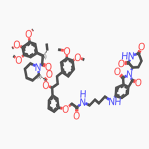 CC[C@H](C(=O)N1CCCC[C@H]1C(=O)OC(CCc1ccc(OC)c(OC)c1)c1cccc(OCC(=O)NCCCCNc2ccc3c(c2)C(=O)N(C2CCC(=O)NC2=O)C3=O)c1)c1cc(OC)c(OC)c(OC)c1